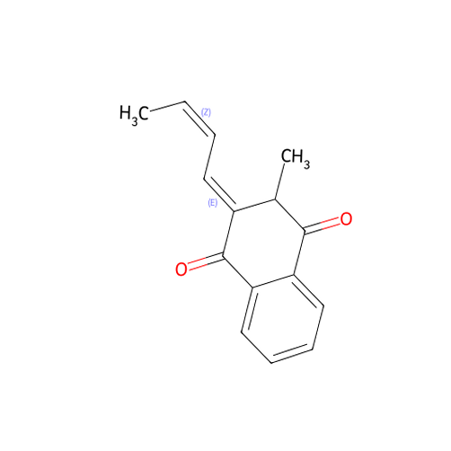 C/C=C\C=C1\C(=O)c2ccccc2C(=O)C1C